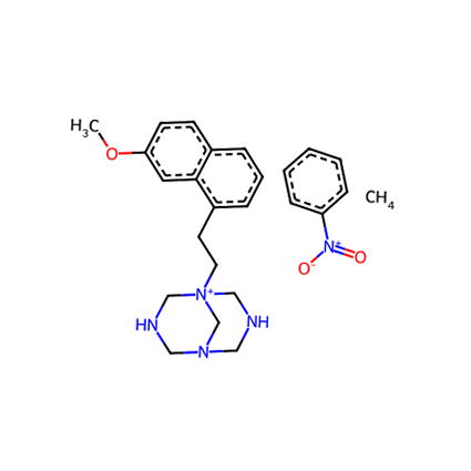 C.COc1ccc2cccc(CC[N+]34CNCN(CNC3)C4)c2c1.O=[N+]([O-])c1ccccc1